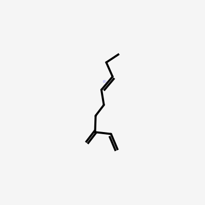 C=CC(=C)CC/C=C/CC